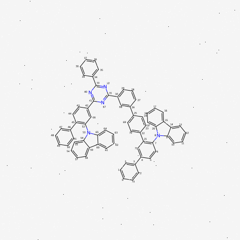 c1ccc(-c2ccc(-n3c4ccccc4c4ccccc43)c(-c3ccc(-c4cccc(-c5nc(-c6ccccc6)nc(-c6ccc(-c7ccccc7)c(-n7c8ccccc8c8ccccc87)c6)n5)c4)cc3)c2)cc1